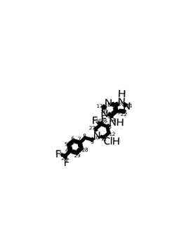 Cl.FC(F)c1ccc(CCN2CCC(Nc3ncnc4[nH]ncc34)C(F)(F)C2)cc1